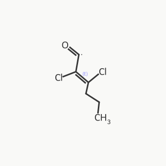 CCC/C(Cl)=C(\Cl)[C]=O